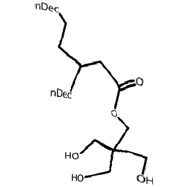 CCCCCCCCCCCCC(CCCCCCCCCC)CC(=O)OCC(CO)(CO)CO